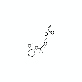 C=CC(=O)OCCOC(C)(C)C(=O)OC1CCCCC1OC